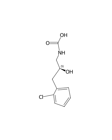 O=C(O)NC[C@@H](O)Cc1ccccc1Cl